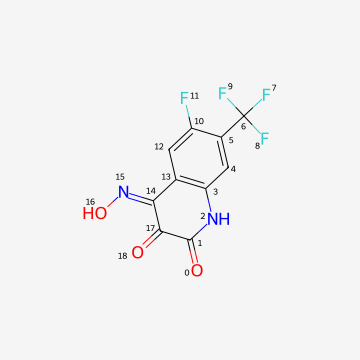 O=C1Nc2cc(C(F)(F)F)c(F)cc2/C(=N/O)C1=O